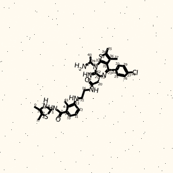 CC1=C(C)SC(NC(=O)c2cccc(NCCNC(=O)C[C@@H]3N=C(c4ccc(Cl)cc4)c4c(sc(C)c4C)N(C(C)N)C3=N)c2C)N1